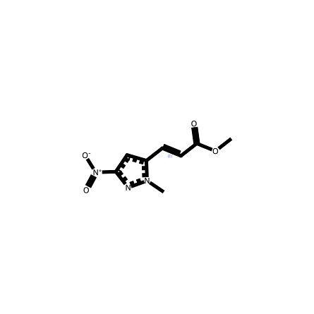 COC(=O)/C=C/c1cc([N+](=O)[O-])nn1C